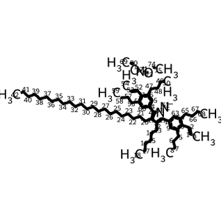 CC=Cc1c(CCCC)cc(C2=C(CCCCCC)C(CCCCCCCCCCCCCCCCCCCCCCC)=C(c3cc(CCCC)c(C=CC)c(CCCC)c3)[N+]2=[N-])cc1CCCC.CC[O][Ni][O]CC